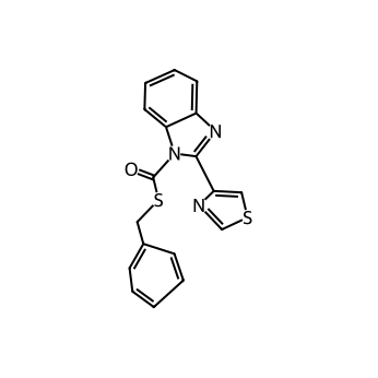 O=C(SCc1ccccc1)n1c(-c2cscn2)nc2ccccc21